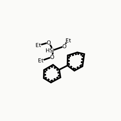 CCO[SiH](OCC)OCC.c1ccc(-c2ccccc2)cc1